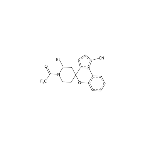 CCC1CC2(CCN1C(=O)C(F)(F)F)Oc1ccccc1-n1c(C#N)ccc12